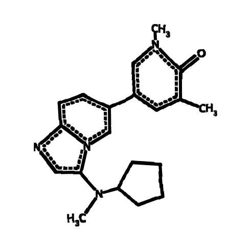 Cc1cc(-c2ccc3ncc(N(C)C4CCCC4)n3c2)cn(C)c1=O